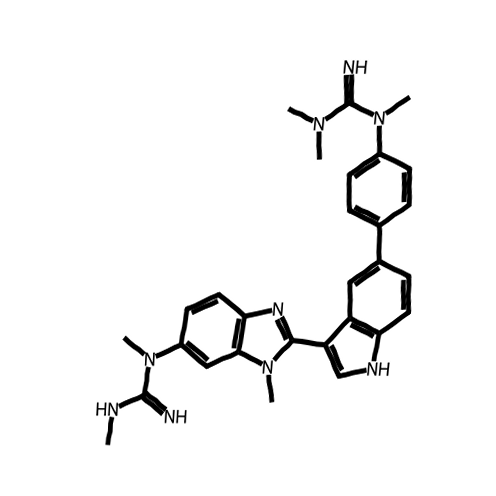 CNC(=N)N(C)c1ccc2nc(-c3c[nH]c4ccc(-c5ccc(N(C)C(=N)N(C)C)cc5)cc34)n(C)c2c1